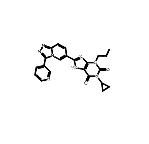 CCCn1c(=O)n(C2CC2)c(=O)c2[nH]c(-c3ccc4nnc(-c5cccnc5)n4c3)nc21